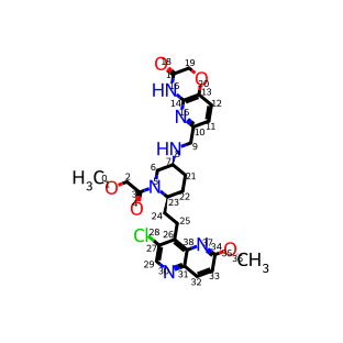 COCC(=O)N1C[C@@H](NCc2ccc3c(n2)NC(=O)CO3)CC[C@H]1CCc1c(Cl)cnc2ccc(OC)nc12